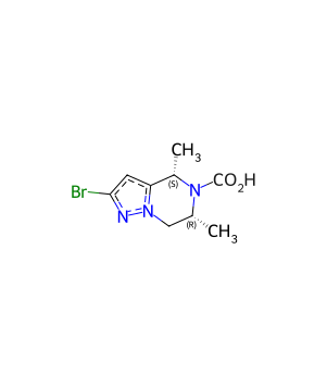 C[C@@H]1Cn2nc(Br)cc2[C@H](C)N1C(=O)O